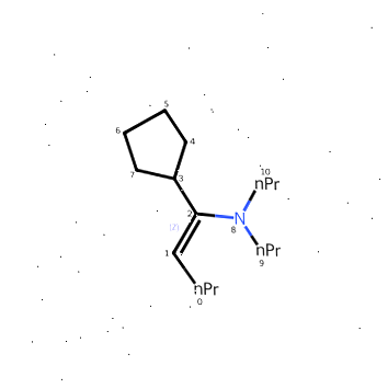 CCC/C=C(/C1CCCC1)N(CCC)CCC